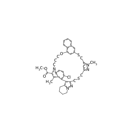 COC(=O)c1c(C)c2c3c(Cl)ccc2n1CCCOc1cc(cc2ccccc12)SCc1cc(nn1C)CSCc1nn2c(c1-3)CCCC2